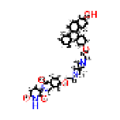 O=C1CC[C@H](N2Cc3cc(OCCN4CC5(CN(CCOc6ccc([C@@H]7c8ccc(O)cc8CC[C@@H]7c7ccccc7)cc6)C5)C4)ccc3C2=O)C(=O)N1